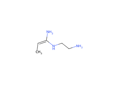 CC=C(N)NCCN